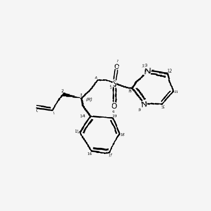 C=CC[C@@H](CS(=O)(=O)c1ncccn1)c1ccccc1